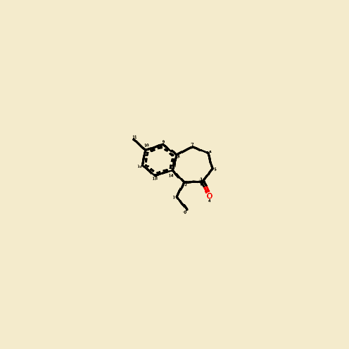 CCC1C(=O)CCCc2cc(C)ccc21